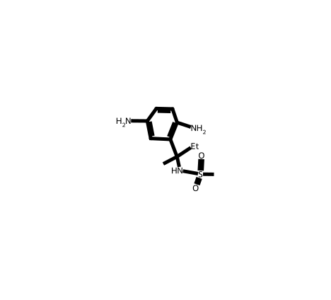 CCC(C)(NS(C)(=O)=O)c1cc(N)ccc1N